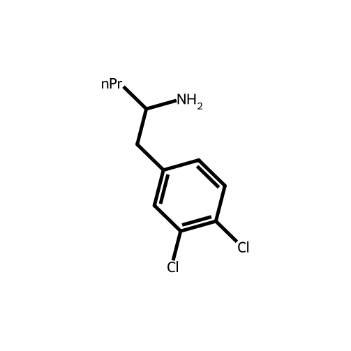 CCCC(N)Cc1ccc(Cl)c(Cl)c1